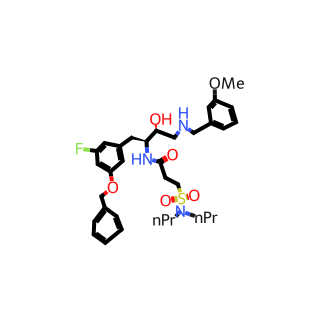 CCCN(CCC)S(=O)(=O)CCC(=O)N[C@@H](Cc1cc(F)cc(OCc2ccccc2)c1)[C@H](O)CNCc1cccc(OC)c1